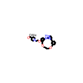 COC(=O)C1CCN(CCOc2ccc3cc2COC/C=C/COCc2cccc(c2)-c2ccnc(n2)N3)CC1